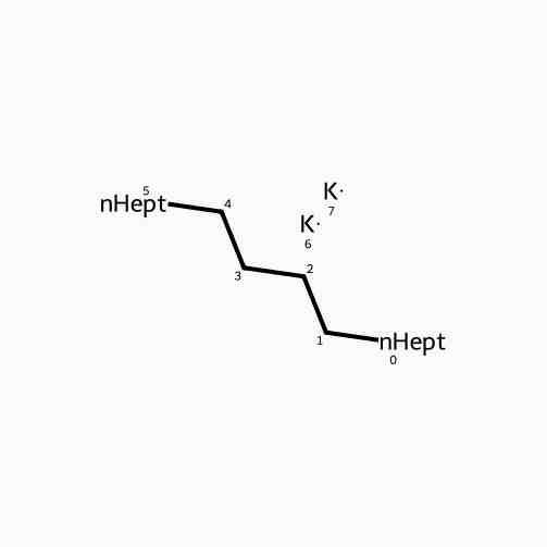 CCCCCCCCCCCCCCCCCC.[K].[K]